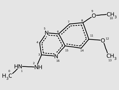 CNNc1cnc2cc(OC)c(OC)cc2n1